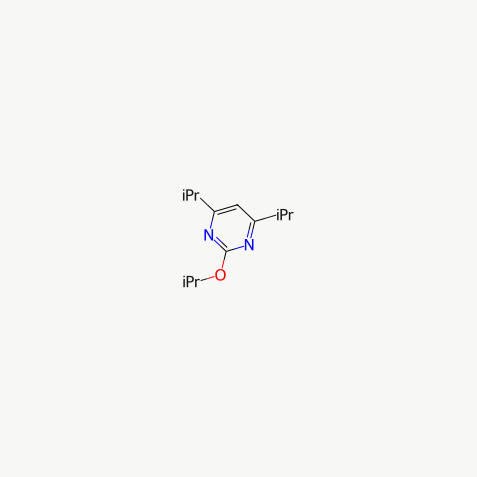 CC(C)Oc1nc(C(C)C)cc(C(C)C)n1